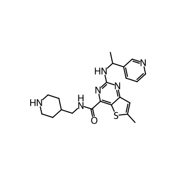 Cc1cc2nc(NC(C)c3cccnc3)nc(C(=O)NCC3CCNCC3)c2s1